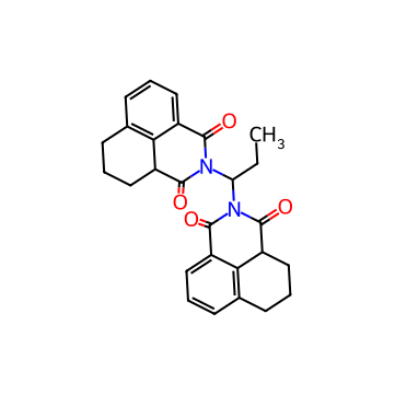 CCC(N1C(=O)c2cccc3c2C(CCC3)C1=O)N1C(=O)c2cccc3c2C(CCC3)C1=O